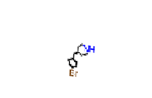 Brc1ccc(C=C2CCNCC2)cc1